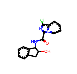 O=C(N[C@@H]1c2ccccc2C[C@@H]1O)c1nc(Cl)c2ccccn12